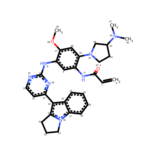 C=CC(=O)Nc1cc(Nc2nccc(-c3c4n(c5ccccc35)CCC4)n2)c(OC)cc1N1CCC(N(C)C)C1